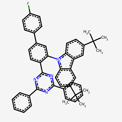 CC(C)(C)c1ccc2c(c1)c1cc(C(C)(C)C)ccc1n2-c1cc(-c2ccc(F)cc2)ccc1-c1nc(-c2ccccc2)nc(-c2ccccc2)n1